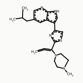 C=C=C(c1nc(-c2c[nH]c3ncc(CC(C)C)cc23)cs1)N1CCN(C)CC1